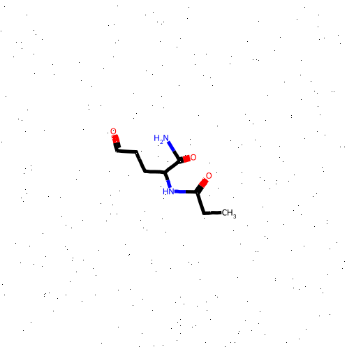 CCC(=O)NC(CCC=O)C(N)=O